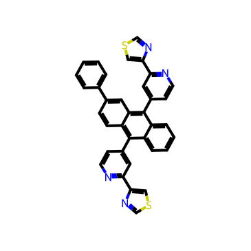 c1ccc(-c2ccc3c(-c4ccnc(-c5cscn5)c4)c4ccccc4c(-c4ccnc(-c5cscn5)c4)c3c2)cc1